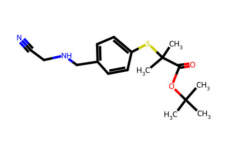 CC(C)(C)OC(=O)C(C)(C)Sc1ccc(CNCC#N)cc1